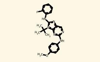 COc1ccc(Nc2ncc3nc(Nc4ccccc4F)n(C(C)(C)C)c3n2)cc1